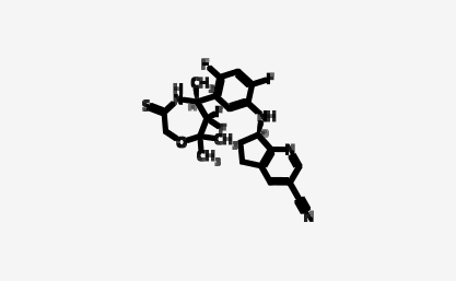 CC1(C)OCC(=S)N[C@](C)(c2cc(N[C@@H]3CCc4cc(C#N)cnc43)c(F)cc2F)C1(F)F